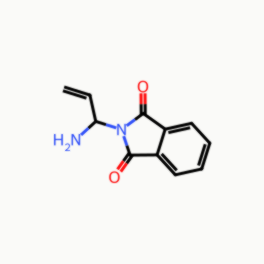 C=CC(N)N1C(=O)c2ccccc2C1=O